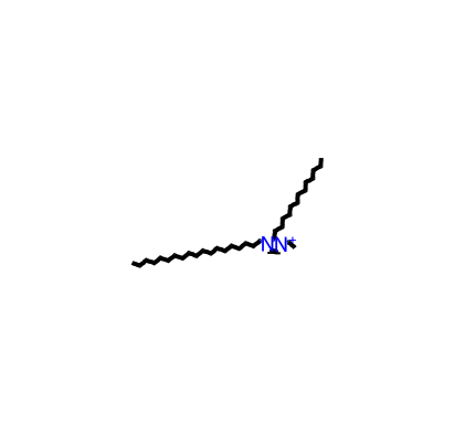 CCCCCCCCCCCCCCCCCCCn1cc[n+](CC)c1CCCCCCCCCCCCC